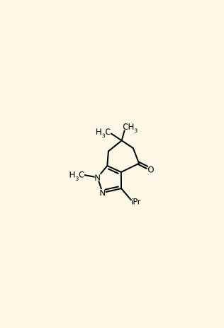 CC(C)c1nn(C)c2c1C(=O)CC(C)(C)C2